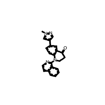 Cn1cc(-c2ccc3c(c2)C(=O)CCN3c2nccc3ccccc23)cn1